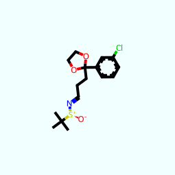 CC(C)(C)[S@@+]([O-])N=CCCC1(c2cccc(Cl)c2)OCCO1